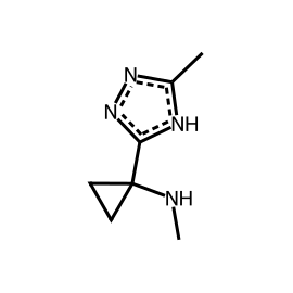 CNC1(c2nnc(C)[nH]2)CC1